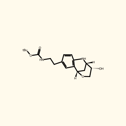 CC(C)(C)OC(=O)NCCc1ccc2c(c1)[C@@H]1C[C@H](N2)[C@H](O)CO1